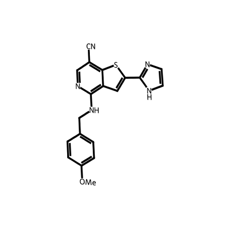 COc1ccc(CNc2ncc(C#N)c3sc(-c4ncc[nH]4)cc23)cc1